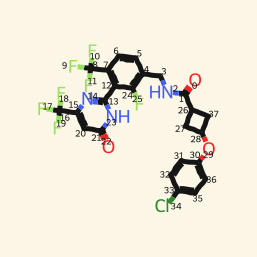 O=C(NCc1ccc(C(F)(F)F)c(-c2nc(C(F)(F)F)cc(=O)[nH]2)c1F)C1CC(Oc2ccc(Cl)cc2)C1